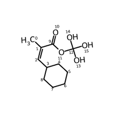 CC(=CC1CCCCC1)C(=O)OC(O)(O)O